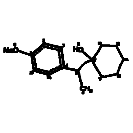 COc1ccc(C(C)C2(O)CCCCC2)cc1